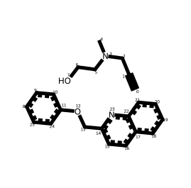 C#CCN(C)CCO.c1ccc(OCc2ccc3ccccc3n2)cc1